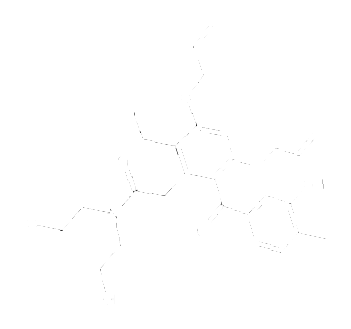 C=CCOc1cc(OCC=C)c(C(=O)c2ccc(C)c(O)c2)c(CC(=O)N(CCO)CCO)c1CC